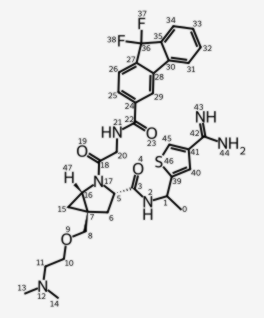 CC(NC(=O)[C@@H]1C[C@]2(COCCN(C)C)C[C@@H]2N1C(=O)CNC(=O)c1ccc2c(c1)-c1ccccc1C2(F)F)c1cc(C(=N)N)cs1